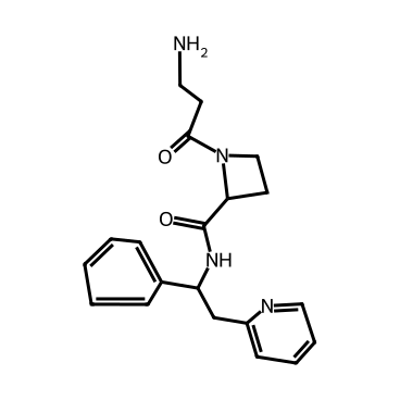 NCCC(=O)N1CCC1C(=O)NC(Cc1ccccn1)c1ccccc1